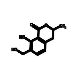 CC1Cc2ccc(CO)c(O)c2C(=O)O1